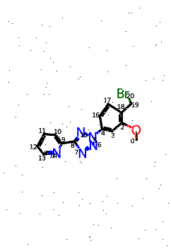 COc1cc(-n2nnc(-c3ccccn3)n2)ccc1CBr